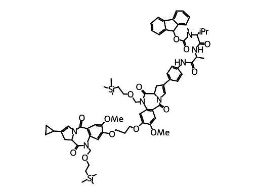 COc1cc2c(cc1OCCCOc1cc3c(cc1OC)C(=O)N1C=C(C4CC4)CC1C(=O)N3COCC[Si](C)(C)C)N(COCC[Si](C)(C)C)C(=O)C1CC(c3ccc(NC(=O)[C@H](C)NC(=O)[C@H](C(C)C)N(C)C(=O)OC4c5ccccc5-c5ccccc54)cc3)=CN1C2=O